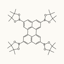 CC1(C)OB(c2cc3cc(B4OC(C)(C)C(C)(C)O4)cc4c5cc(B6OC(C)(C)C(C)(C)O6)cc6cc(B7OC(C)(C)C(C)(C)O7)cc(c(c2)c34)c65)OC1(C)C